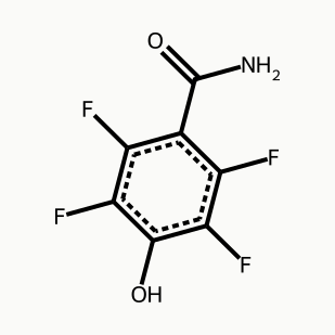 NC(=O)c1c(F)c(F)c(O)c(F)c1F